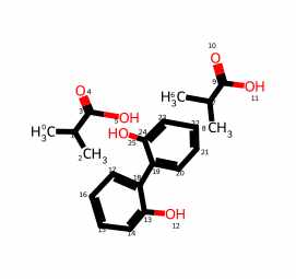 CC(C)C(=O)O.CC(C)C(=O)O.Oc1ccccc1-c1ccccc1O